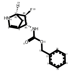 O=C(N[C@@H]1C2=CN[C@H](C2)[C@H]1F)OCc1ccccc1